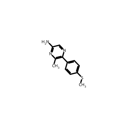 CSc1ccc(-c2ncc(N)nc2C)cc1